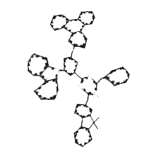 CC1(C)c2ccccc2-c2ccc(-c3nc(-c4ccccc4)nc(-c4cc(-c5ccc6c7ccccc7c7ccccc7c6c5)cc(-n5c6ccccc6c6ccccc65)c4)n3)cc21